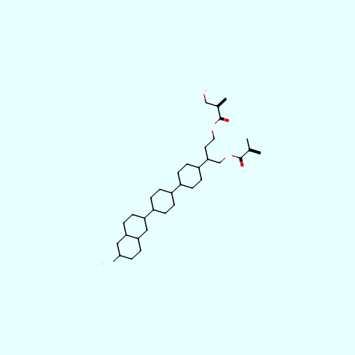 C=C(C)C(=O)OCC(CCOC(=O)C(=C)CO)C1CCC(C2CCC(C3CCC4CC(CCCCC)CCC4C3)CC2)CC1